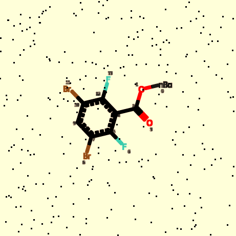 CCCCOC(=O)c1c(F)c(Br)cc(Br)c1F